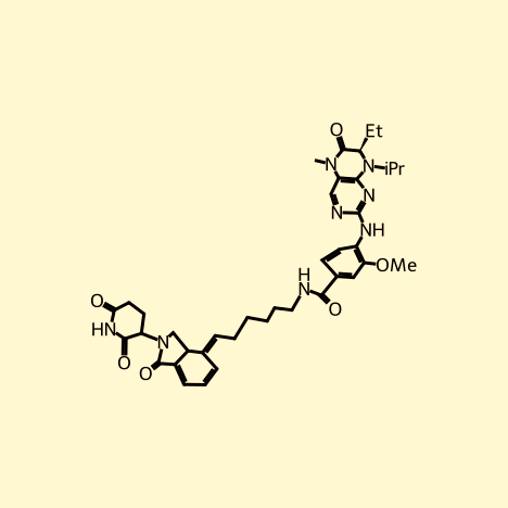 CC[C@@H]1C(=O)N(C)c2cnc(Nc3ccc(C(=O)NCCCCCC=C4C=CC=C5C(=O)N(C6CCC(=O)NC6=O)CC45)cc3OC)nc2N1C(C)C